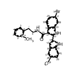 C[n+]1ccccc1CCNC(=O)c1c(-c2cc3cc(Cl)ccc3[nH]2)[nH]c2cc(Br)ccc12